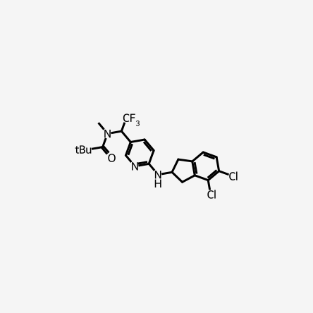 CN(C(=O)C(C)(C)C)C(c1ccc(NC2Cc3ccc(Cl)c(Cl)c3C2)nc1)C(F)(F)F